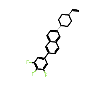 C=C[C@H]1CC[C@H](c2ccc3cc(-c4cc(F)c(F)c(F)c4)ccc3c2)CC1